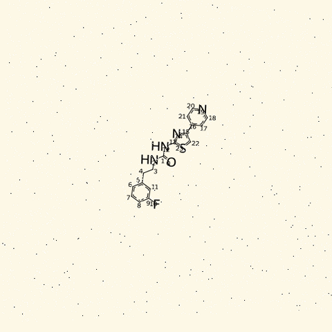 O=C(NCCc1cccc(F)c1)Nc1nc(-c2ccncc2)cs1